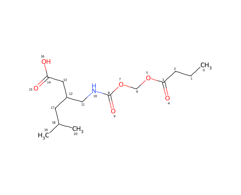 CCCC(=O)OCOC(=O)NCC(CC(=O)O)CC(C)C